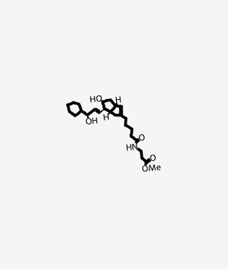 COC(=O)CCNC(=O)CCCCC1=C[C@H]2C[C@@H](O)[C@H](/C=C/[C@@H](O)C3CCCCC3)[C@H]2C1